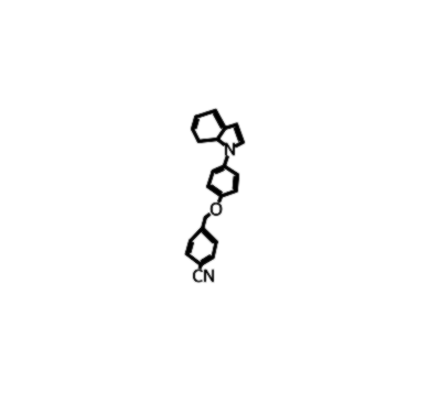 N#Cc1ccc(COc2ccc(N3C=CC4=CC=CCC43)cc2)cc1